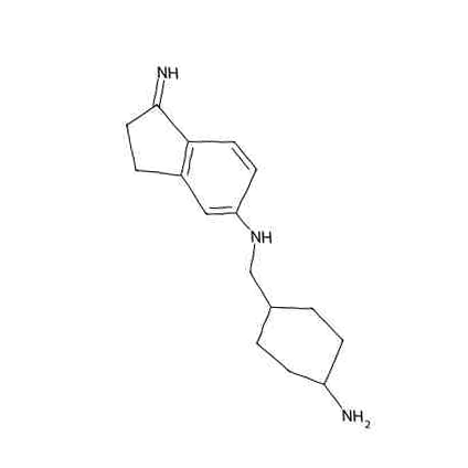 N=C1CCc2cc(NCC3CCC(N)CC3)ccc21